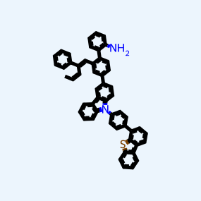 C/C=C\C(=Cc1cc(-c2ccc3c(c2)c2ccccc2n3-c2ccc(-c3cccc4c3sc3ccccc34)cc2)ccc1-c1ccccc1N)c1ccccc1